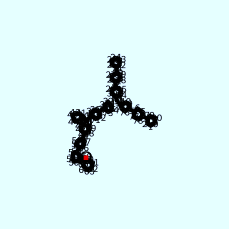 c1ccc(-c2ccc(-c3ccc(N(c4ccc(-c5ccc(-c6ccccc6)cc5)cc4)c4ccc(-c5ccc(-n6c7ccccc7c7cc(-c8ccc(-c9cccc%10c9oc9ccccc9%10)cc8)ccc76)cc5)cc4)cc3)cc2)cc1